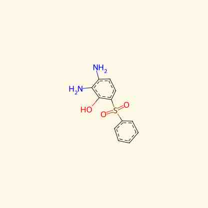 Nc1ccc(S(=O)(=O)c2ccccc2)c(O)c1N